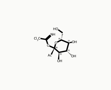 CC(=O)[C@@]1(OC(=N)C(Cl)(Cl)Cl)O[C@H](CO)[C@@H](O)[C@H](O)[C@H]1O